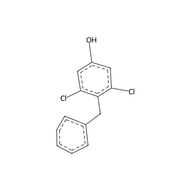 Oc1cc(Cl)c(Cc2ccccc2)c(Cl)c1